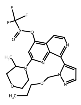 CCCOCn1nccc1-c1nccc2c(OS(=O)C(F)(F)F)cc(N3CCOCC3C)nc12